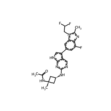 CC(=O)N[C@]1(C)C[C@@H](Nc2ncc3c(-c4cc(F)c5nc(C)n(CC(F)F)c5c4)c[nH]c3n2)C1